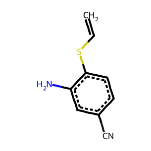 C=CSc1ccc(C#N)cc1N